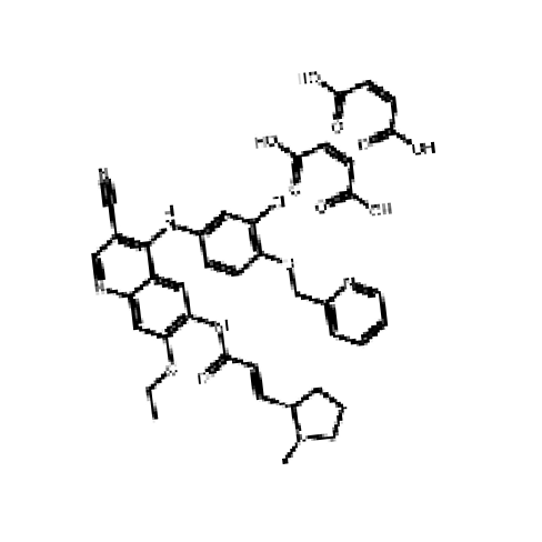 CCOc1cc2ncc(C#N)c(Nc3ccc(OCc4ccccn4)c(Cl)c3)c2cc1NC(=O)/C=C/[C@H]1CCCN1C.O=C(O)/C=C\C(=O)O.O=C(O)/C=C\C(=O)O